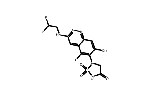 O=C1CN(c2c(O)cc3nnc(NCC(F)F)cc3c2F)S(=O)(=O)N1